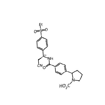 CCS(=O)(=O)c1ccc([C@H](CC#N)NC(=O)c2ccc(C3CCCN3C(=O)O)cc2)cc1